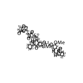 COc1cc2c(cc1OCCCOc1cc3c(cc1OC)C(=O)N1c4ccccc4C[C@H]1CN3CC(C)(C)SC1CC(=O)N(CCC(=O)ON3C(=O)CCC3=O)C1=O)N=C[C@@H]1Cc3ccccc3N1C2=O